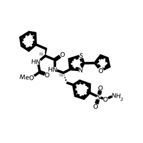 COC(=O)N[C@@H](Cc1ccccc1)C(=O)N[C@@H](Cc1ccc(S(=O)(=O)ON)cc1)c1csc(-c2ccco2)n1